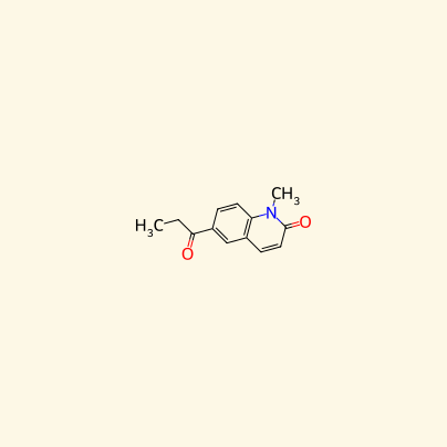 CCC(=O)c1ccc2c(ccc(=O)n2C)c1